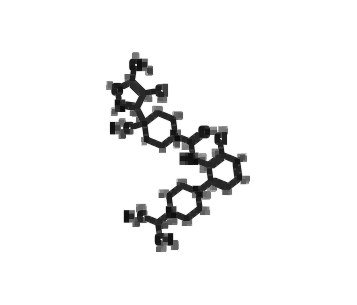 Cc1onc(C2(C)CCN(C(=O)Nc3c(Cl)cccc3N3CCN(C(C)C)CC3)CC2)c1Cl